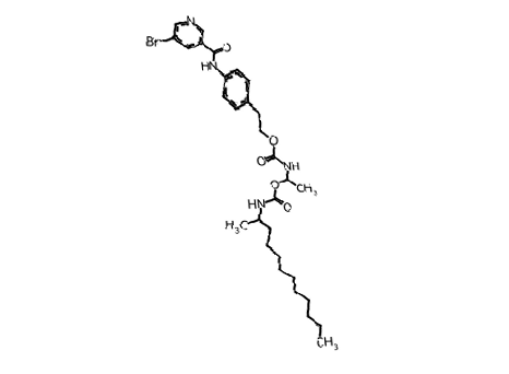 CCCCCCCCCCC(C)NC(=O)OC(C)NC(=O)OCCc1ccc(NC(=O)c2cncc(Br)c2)cc1